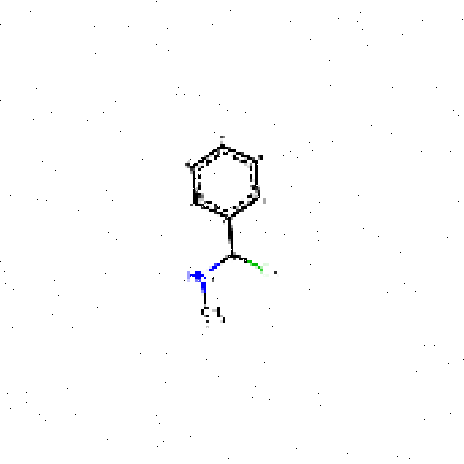 CNC(Cl)c1ccccc1